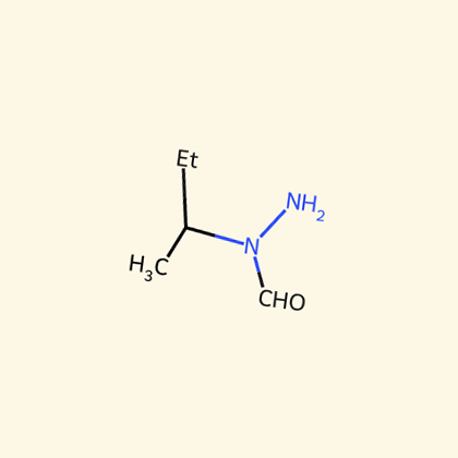 CCC(C)N(N)C=O